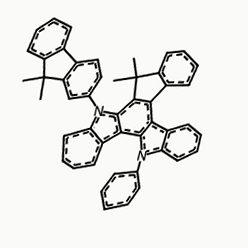 CC1(C)c2ccccc2-c2ccc(-n3c4ccccc4c4c3c3c(c5c6ccccc6n(-c6ccccc6)c54)-c4ccccc4C3(C)C)cc21